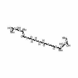 CC(C)(C)COCC(CO)OCC(O)COCC(CCOC(=O)CCCCSCCC(=O)NCCNCCNCCNC(=O)CCSCCC(=O)OCCC(COCC(O)COC(CO)COC(C)(C)C)C(C)(C)C)C(C)(C)C